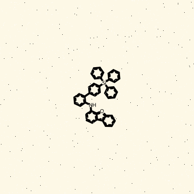 c1ccc([Si](c2ccccc2)(c2ccccc2)c2ccc(-c3ccccc3Nc3cccc4c3oc3ccccc34)cc2)cc1